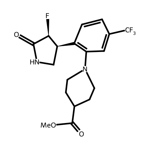 COC(=O)C1CCN(c2cc(C(F)(F)F)ccc2[C@H]2CNC(=O)[C@H]2F)CC1